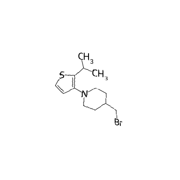 CC(C)c1sccc1N1CCC(CBr)CC1